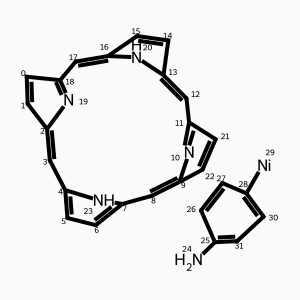 C1=Cc2cc3ccc(cc4nc(cc5ccc(cc1n2)[nH]5)C=C4)[nH]3.Nc1cc[c]([Ni])cc1